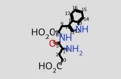 NC(CCC(=O)O)C(=O)N[C@@H](Cc1c[nH]c2ccccc12)C(=O)O